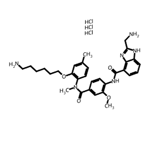 COc1cc(C(=O)N(C)c2ccc(C)cc2OCCCCCCN)ccc1NC(=O)c1cccc2[nH]c(CN)nc12.Cl.Cl.Cl